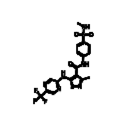 CNS(=O)(=O)c1ccc(NC(=O)c2c(C)nsc2Nc2cnc(C(F)(F)F)cn2)cc1